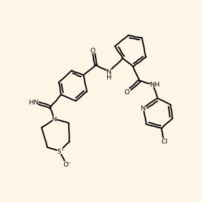 N=C(c1ccc(C(=O)Nc2ccccc2C(=O)Nc2ccc(Cl)cn2)cc1)N1CC[S+]([O-])CC1